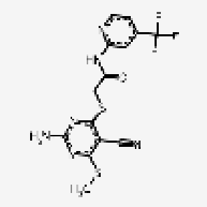 CSc1nc(N)nc(SCC(=O)Nc2cc(C(F)(F)F)ccn2)c1C#N